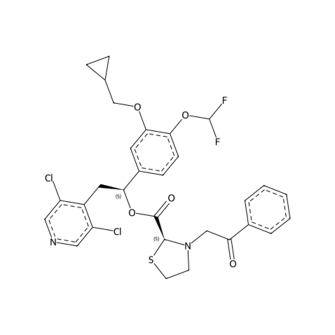 O=C(CN1CCS[C@H]1C(=O)O[C@@H](Cc1c(Cl)cncc1Cl)c1ccc(OC(F)F)c(OCC2CC2)c1)c1ccccc1